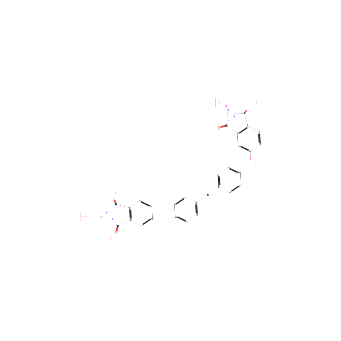 CC(C)(c1ccc(Oc2ccc3c(c2)C(=O)N(O)C3=O)cc1)c1ccc(Oc2ccc3c(c2)C(=O)N(O)C3=O)cc1